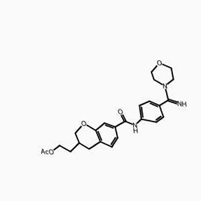 CC(=O)OCCC1COc2cc(C(=O)Nc3ccc(C(=N)N4CCOCC4)cc3)ccc2C1